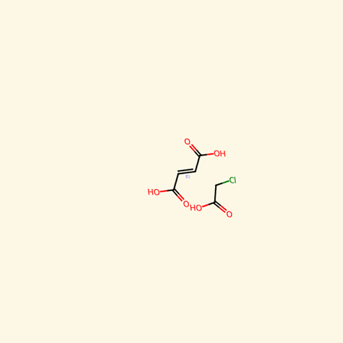 O=C(O)/C=C/C(=O)O.O=C(O)CCl